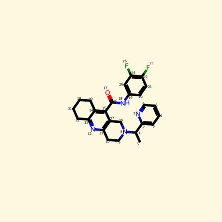 CC(c1ccccn1)N1CCc2nc3c(c(C(=O)Nc4ccc(F)c(F)c4)c2C1)CCCC3